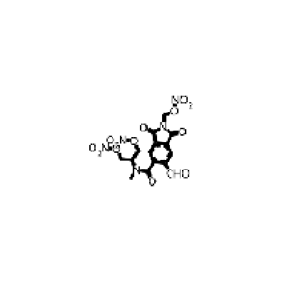 CN(C(=O)c1cc2c(cc1C=O)C(=O)N(CO[N+](=O)[O-])C2=O)C(CO[N+](=O)[O-])CO[N+](=O)[O-]